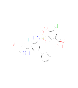 CO[C@H]1CNC(c2cc(-c3ccccc3)cc(NS(=O)(=O)c3cc(C(=O)O)cc(Cl)c3O)c2F)C1